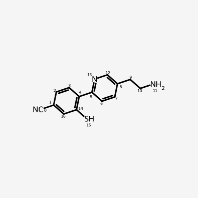 N#Cc1ccc(-c2ccc(CCN)cn2)c(S)c1